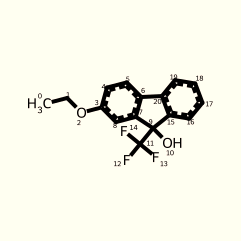 CCOc1ccc2c(c1)C(O)(C(F)(F)F)c1ccccc1-2